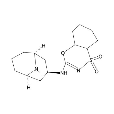 CN1[C@@H]2CCC[C@H]1C[C@@H](NC1=NS(=O)(=O)C3CCCCC3O1)C2